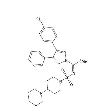 CSC(=NS(=O)(=O)N1CCC(N2CCCCC2)CC1)N1CC(c2ccccc2)C(c2ccc(Cl)cc2)=N1